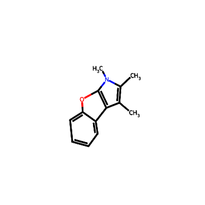 Cc1c(C)n(C)c2oc3ccccc3c12